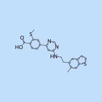 CSc1cc(-c2cc(NCCc3cc4ccsc4cc3C)ncn2)ccc1C(=O)O